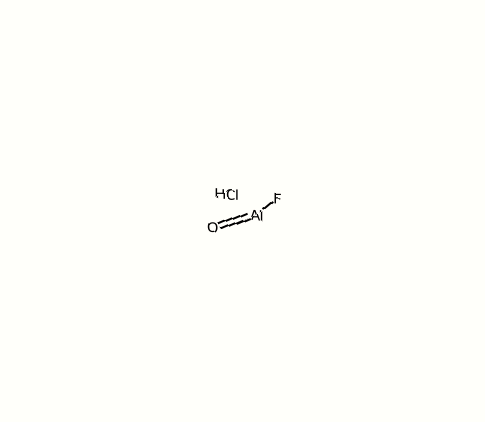 Cl.[O]=[Al][F]